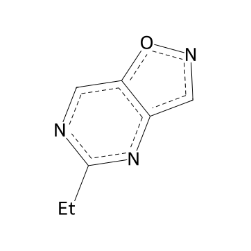 CCc1ncc2oncc2n1